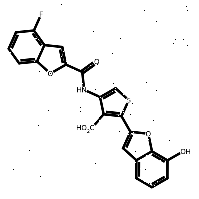 O=C(Nc1csc(-c2cc3cccc(O)c3o2)c1C(=O)O)c1cc2c(F)cccc2o1